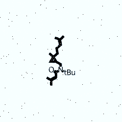 CC(C)=CCCC1(C)CC1CN(C(=O)C=C(C)C)C(C)(C)C